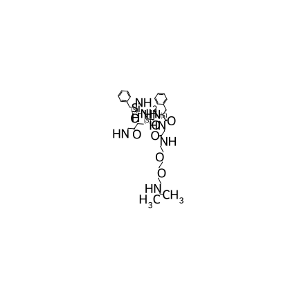 CC(C)NCCOCCOCCNC(=O)CNC(=O)[C@H](Cc1ccccc1)NC(=O)[C@H](CCC(=O)C=N)NC(=O)[Si@@H](N)Cc1ccccc1